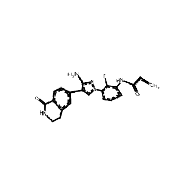 C=CC(=O)Nc1cccc(-n2cc(-c3ccc4c(c3)CCNC4=O)c(N)n2)c1F